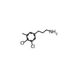 Cc1cc(CCCN)cc(Cl)c1Cl